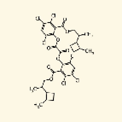 CC1CCC1C(C)COC(=O)c1c(Cl)c(Cl)cc(Cl)c1OC(=O)C(=O)Oc1c(Cl)cc(Cl)c(Cl)c1C(=O)OCC(C)C1CCC1C